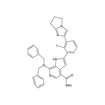 CNC(=O)c1cnc(N(Cc2ccccc2)Cc2ccccc2)c2[nH]c(-c3cccc(-c4cn5c(n4)CCC5)c3F)cc12